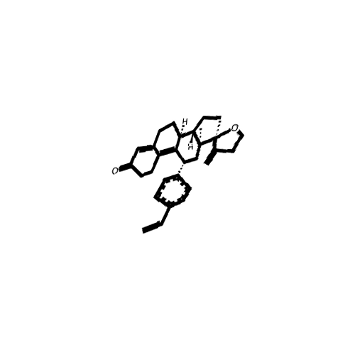 C=Cc1ccc([C@H]2C[C@@]3(C)[C@@H](CC[C@@]34OCCC4=C)[C@@H]3CCC4=CC(=O)CCC4=C32)cc1